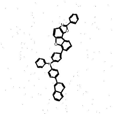 c1ccc(-c2nc3ccc4oc5c(-c6ccc(N(c7ccccc7)c7ccc(-c8ccc9ccccc9c8)cc7)cc6)cccc5c4c3o2)cc1